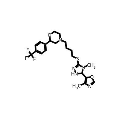 Cc1ncoc1C1NN=C(SCCCCN2CCOC(c3ccc(C(F)(F)F)cc3)C2)N1C